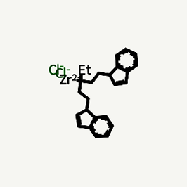 CC[C]([Zr+2])(CCC1C=Cc2ccccc21)CCC1C=Cc2ccccc21.[Cl-].[Cl-]